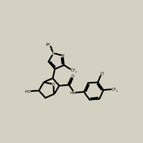 CC(C)n1cc(C2C3OC(CC3O)C2C(=O)Nc2ccc(C(F)(F)F)c(Cl)c2)c(C(F)(F)F)n1